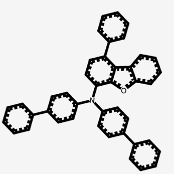 c1ccc(-c2ccc(N(c3ccc(-c4ccccc4)cc3)c3ccc(-c4ccccc4)c4c3oc3ccccc34)cc2)cc1